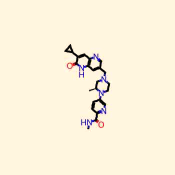 CNC(=O)c1ccc(N2CCN(Cc3cnc4cc(C5CC5)c(=O)[nH]c4c3)C[C@@H]2C)cn1